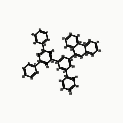 c1ccc(-c2nc(-c3ccccc3)nc(-c3cc(-c4ccncn4)cc(-c4cc5ccccc5c5ccccc45)c3)n2)cc1